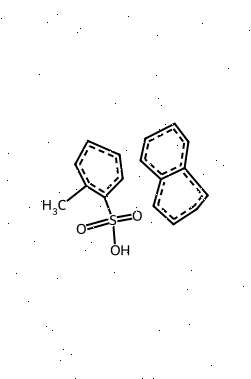 Cc1ccccc1S(=O)(=O)O.c1ccc2ccccc2c1